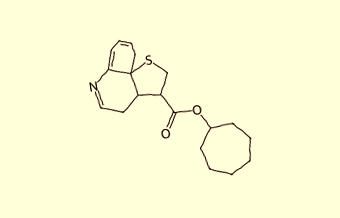 O=C(OC1CCCCCC1)C1CSC23CC=CC=C2N=CCC13